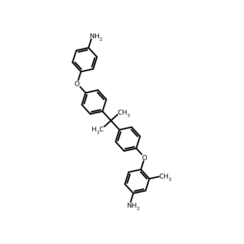 Cc1cc(N)ccc1Oc1ccc(C(C)(C)c2ccc(Oc3ccc(N)cc3)cc2)cc1